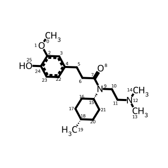 COc1cc(CCC(=O)N(CCN(C)C)[C@H]2CC[C@@H](C)CC2)ccc1O